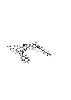 CCCc1ccc(-c2cc(F)c(OC(=O)/C=C/c3ccc(OC(=O)CCCCCS)c(C)c3)c(F)c2)c(/C=N/N=C/c2ccc3ccccc3c2)c1